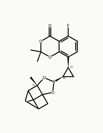 CC1(C)OC(=O)c2c(F)ccc([C@H]3C[C@H]3B3OC45CC6CC(C64C)[C@]5(C)O3)c2O1